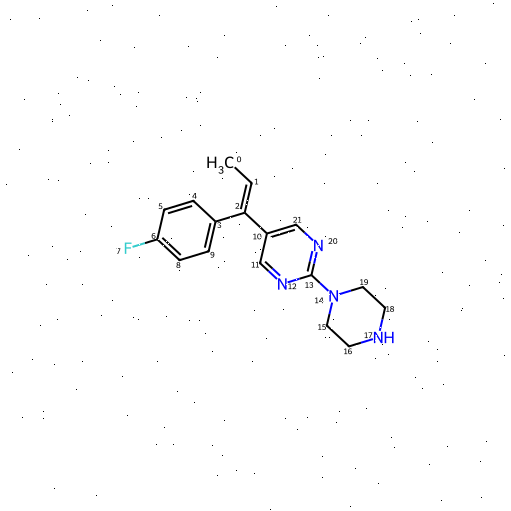 C/C=C(\c1ccc(F)cc1)c1cnc(N2CCNCC2)nc1